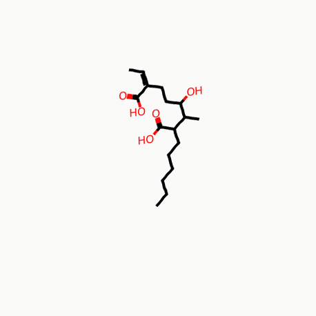 CC=C(CCC(O)C(C)C(CCCCCC)C(=O)O)C(=O)O